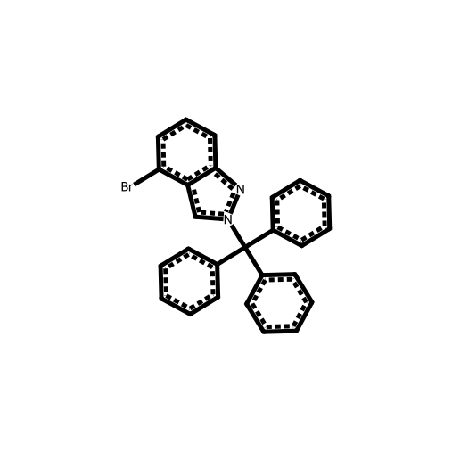 Brc1cccc2nn(C(c3ccccc3)(c3ccccc3)c3ccccc3)cc12